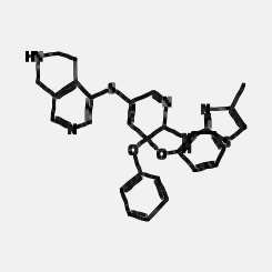 Cc1csc(NC2N=CC(Sc3cncc4c3CCNC4)=CC2(Oc2ccccc2)Oc2ccccc2)n1